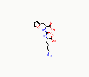 NCCCC[C@H](NC(=O)N[C@@H](Cc1ccco1)C(=O)O)C(=O)O